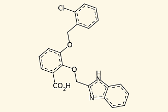 O=C(O)c1cccc(OCc2ccccc2Cl)c1OCc1nc2ccccc2[nH]1